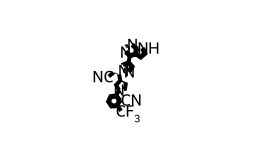 N#CC[C@@H]([C@H]1CCN(c2cccc(C(F)(F)F)c2C#N)C1)n1cc(-c2ncnc3[nH]ccc23)cn1